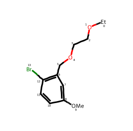 CCOCCOCc1cc(OC)ccc1Br